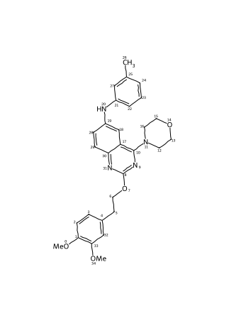 COc1ccc(CCOc2nc(N3CCOCC3)c3cc(Nc4cccc(C)c4)ccc3n2)cc1OC